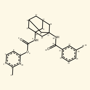 Cc1nccc(OC(=O)NC23CC4CC(C2)CC(NC(=O)c2cccc(F)c2)(C4)C3)n1